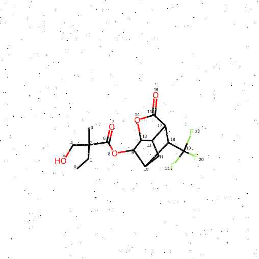 CCC(C)(CO)C(=O)OC1C2CC3C1OC(=O)C3C2C(F)(F)F